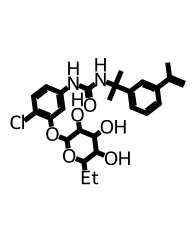 C=C(C)c1cccc(C(C)(C)NC(=O)Nc2ccc(Cl)c(OC3OC(CC)C(O)C(O)C3O)c2)c1